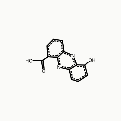 O=C(O)c1cccc2nc3c(O)cccc3nc12